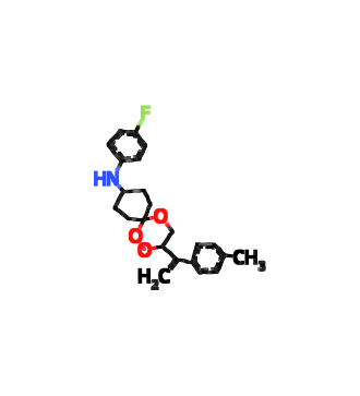 C=C(c1ccc(C)cc1)C1COC2(CCC(Nc3ccc(F)cc3)CC2)OO1